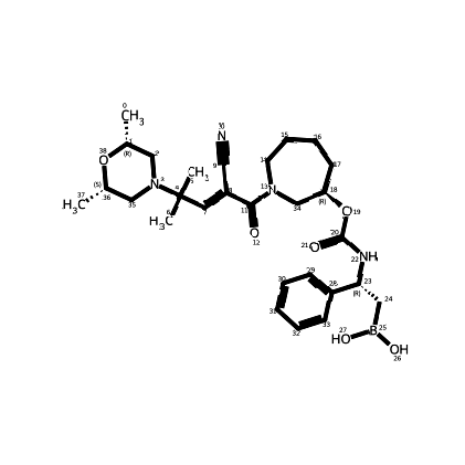 C[C@@H]1CN(C(C)(C)C=C(C#N)C(=O)N2CCCC[C@@H](OC(=O)N[C@H](CB(O)O)c3ccccc3)C2)C[C@H](C)O1